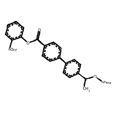 CCCCCCCCc1ccccc1OC(=O)c1ccc(-c2ccc(C(C)OCCCCC)cc2)cc1